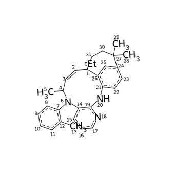 CCC12/C=C\C(C)N(c3ccccc3C)c3cccnc3Nc3ccc(cc31)C(C)(C)CC2